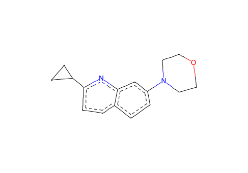 c1cc2ccc(C3CC3)nc2cc1N1CCOCC1